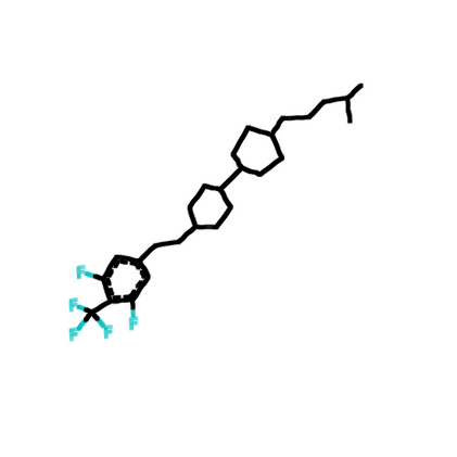 CC(C)CCCC1CCC(C2CCC(CCc3cc(F)c(C(F)(F)F)c(F)c3)CC2)CC1